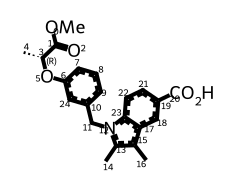 COC(=O)[C@@H](C)Oc1cccc(Cn2c(C)c(C)c3cc(C(=O)O)ccc32)c1